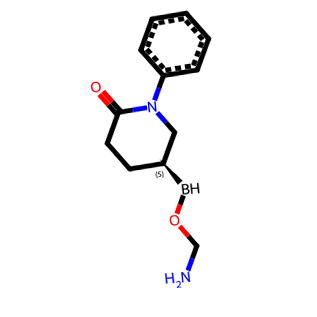 NCOB[C@H]1CCC(=O)N(c2ccccc2)C1